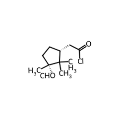 CC1(C)[C@@H](CC(=O)Cl)CC[C@@]1(C)C=O